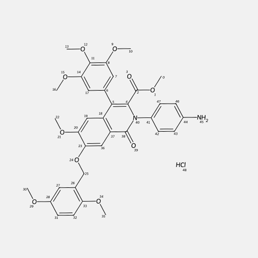 COC(=O)c1c(-c2cc(OC)c(OC)c(OC)c2)c2cc(OC)c(OCc3cc(OC)ccc3OC)cc2c(=O)n1-c1ccc(N)cc1.Cl